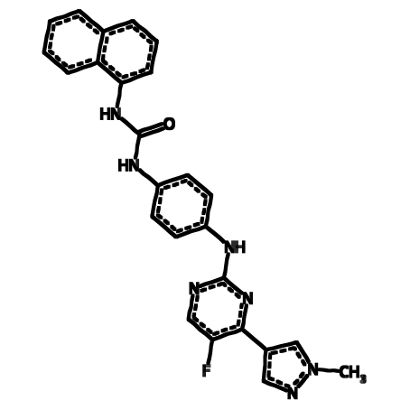 Cn1cc(-c2nc(Nc3ccc(NC(=O)Nc4cccc5ccccc45)cc3)ncc2F)cn1